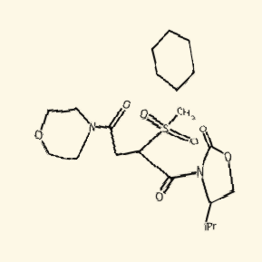 C1CCCCC1.CC(C)C1COC(=O)N1C(=O)C(CC(=O)N1CCOCC1)S(C)(=O)=O